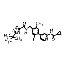 Cc1cc(-c2ccnc(NC(=O)C3CC3)c2)c(F)cc1CNC(=O)c1nc(C(C)(C)C)no1